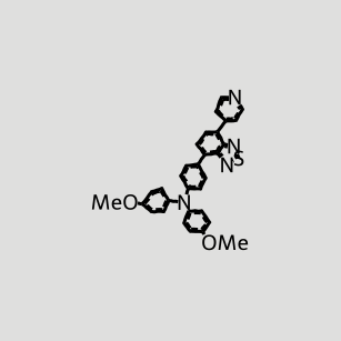 COc1ccc(N(c2ccc(OC)cc2)c2ccc(-c3ccc(-c4ccncc4)c4nsnc34)cc2)cc1